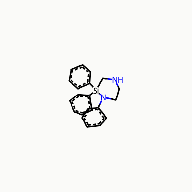 c1ccc(N2CCNC[Si]2(c2ccccc2)c2ccccc2)cc1